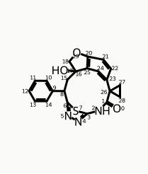 O=C1Nc2nnc(s2)C(c2ccccc2)CC2(O)COc3ccc(cc32)C12CC2